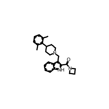 Cc1cccc(C)c1C1CCN(Cc2c(C(=O)N3CCC3)[nH]c3ccccc23)CC1